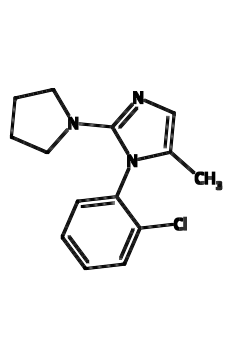 Cc1cnc(N2CCCC2)n1-c1ccccc1Cl